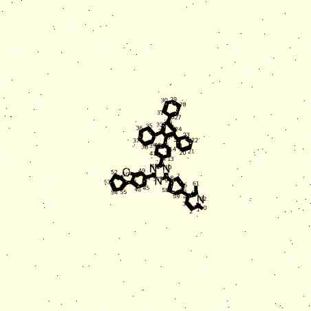 Cc1ccc(-c2ccc(-c3nc(-c4ccc(-c5c(-c6ccccc6)cc(-c6ccccc6)cc5-c5ccccc5)cc4)nc(-c4ccc5c(c4)oc4ccccc45)n3)cc2)c(C)n1